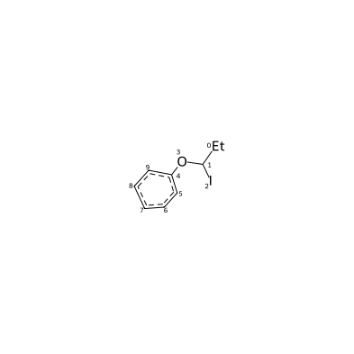 CCC(I)Oc1ccccc1